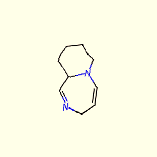 C1=CN2CCCCC2C=NC1